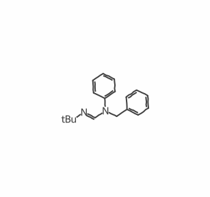 CC(C)(C)N=CN(Cc1ccccc1)c1ccccc1